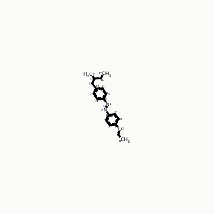 CCOc1ccc(/N=N/c2ccc(CC(C)CC)cc2)cc1